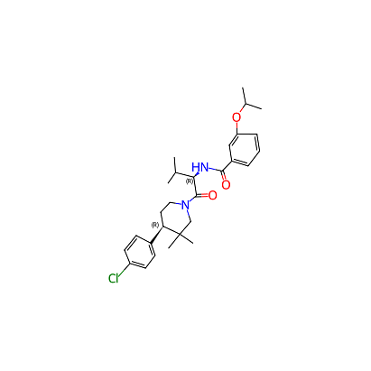 CC(C)Oc1cccc(C(=O)N[C@@H](C(=O)N2CC[C@H](c3ccc(Cl)cc3)C(C)(C)C2)C(C)C)c1